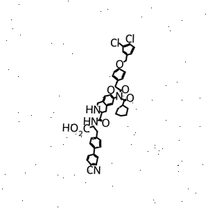 N#Cc1ccc(-c2ccc(CC(NC(=O)C3Cc4cc5c(cc4CN3)OC(c3ccc(OCc4ccc(Cl)c(Cl)c4)cc3)C(=O)N5C(=O)C3CCCCC3)C(=O)O)cc2)cc1